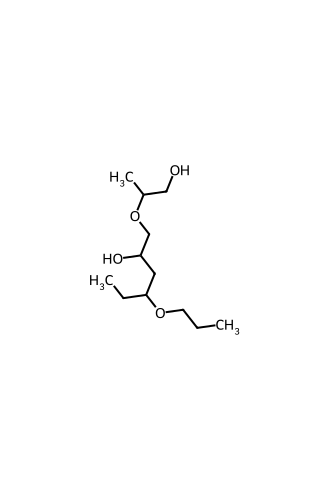 CCCOC(CC)CC(O)COC(C)CO